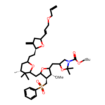 C=CCOC/C=C/C1CC(=C)[C@H](CCC2C[C@@H](C)C(C)(C)C(CC3OC(CC4CN(C(=O)OC(C)(C)C)C(C)(C)O4)[C@H](OC)[C@H]3CS(=O)(=O)c3ccccc3)O2)O1